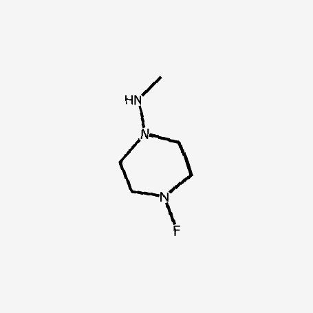 CNN1CCN(F)CC1